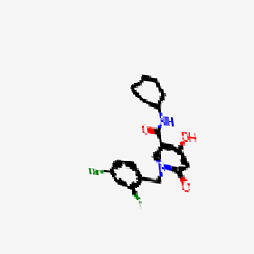 O=C(NC1CCCCC1)c1cn(Cc2ccc(Br)cc2F)c(=O)cc1O